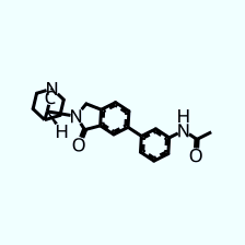 CC(=O)Nc1cccc(-c2ccc3c(c2)C(=O)N([C@H]2CN4CCC2CC4)C3)c1